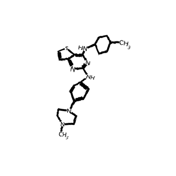 CC1CCC(Nc2nc(Nc3ccc(N4CCN(C)CC4)cc3)nc3ccsc23)CC1